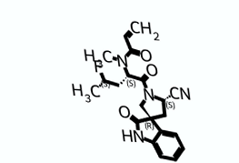 C=CC(=O)N(C)[C@@H](C[C@H](C)F)C(=O)N1C[C@]2(C[C@H]1C#N)C(=O)Nc1ccccc12